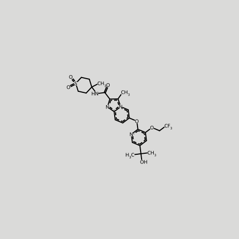 Cc1c(C(=O)NC2(C)CCS(=O)(=O)CC2)nc2ccc(Oc3ncc(C(C)(C)O)cc3OCC(F)(F)F)cn12